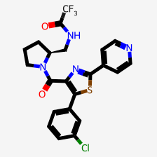 O=C(c1nc(-c2ccncc2)sc1-c1cccc(Cl)c1)N1CCC[C@H]1CNC(=O)C(F)(F)F